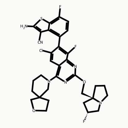 N#Cc1c(N)sc2c(F)ccc(-c3c(Cl)cc4c(N5CCCC6(CCOC6)C5)nc(OC[C@@]56CCCN5C[C@H](F)C6)nc4c3F)c12